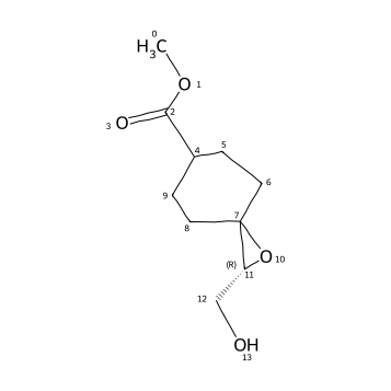 COC(=O)C1CCC2(CC1)O[C@@H]2CO